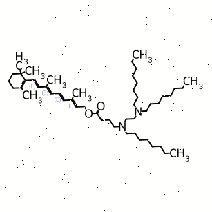 CCCCCCCCN(CCCCCCCC)CCN(CCCCCCCC)CCCC(=O)OC/C=C(C)/C=C/C=C(C)/C=C/C1=C(C)CCCC1(C)C